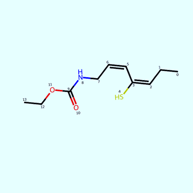 CC/C=C(S)\C=C/CNC(=O)OCC